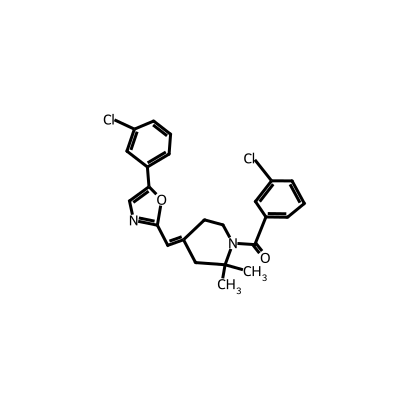 CC1(C)C/C(=C/c2ncc(-c3cccc(Cl)c3)o2)CCN1C(=O)c1cccc(Cl)c1